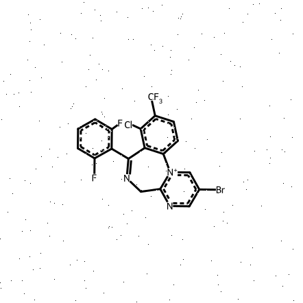 Fc1cccc(F)c1C1=NCc2ncc(Br)c[n+]2-c2ccc(C(F)(F)F)c(Cl)c21